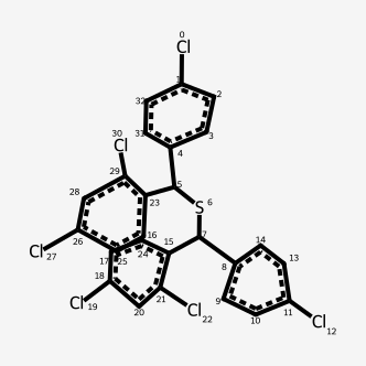 Clc1ccc(C(SC(c2ccc(Cl)cc2)c2ccc(Cl)cc2Cl)c2ccc(Cl)cc2Cl)cc1